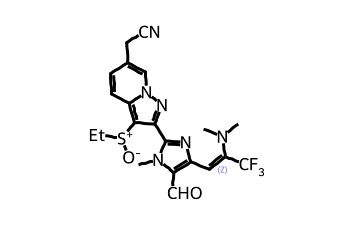 CC[S+]([O-])c1c(-c2nc(/C=C(\N(C)C)C(F)(F)F)c(C=O)n2C)nn2cc(CC#N)ccc12